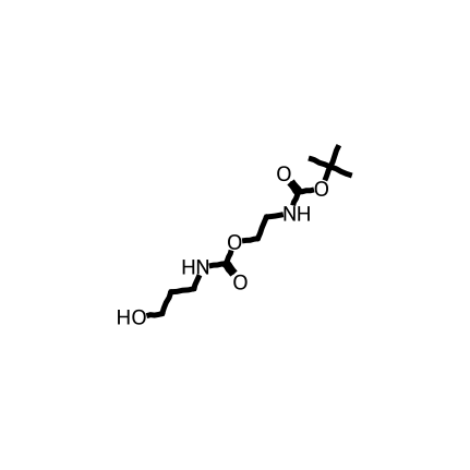 CC(C)(C)OC(=O)NCCOC(=O)NCCCO